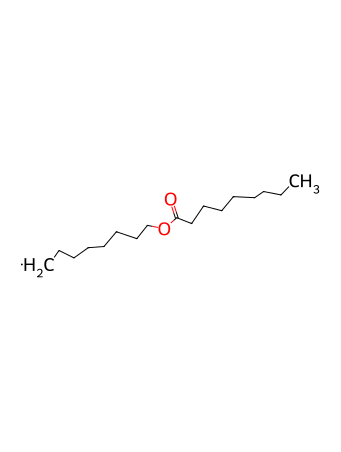 [CH2]CCCCCCCOC(=O)CCCCCCCC